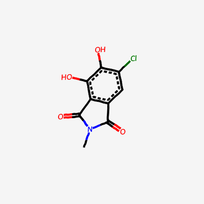 CN1C(=O)c2cc(Cl)c(O)c(O)c2C1=O